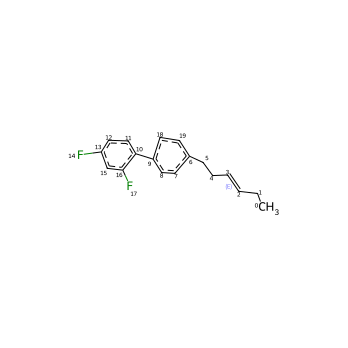 CC/C=C/CCc1ccc(-c2ccc(F)cc2F)cc1